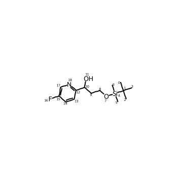 CC(C)(C)[Si](C)(C)OCCC(O)c1ccc(F)cn1